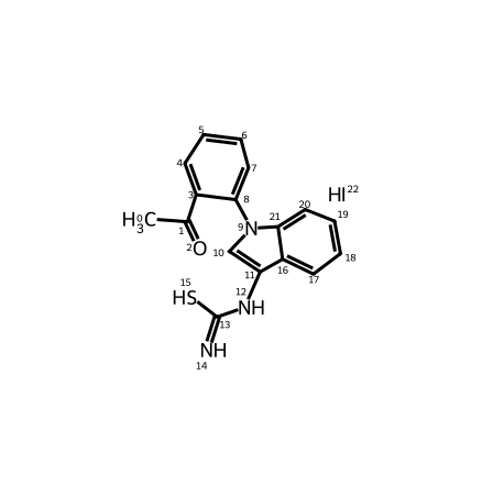 CC(=O)c1ccccc1-n1cc(NC(=N)S)c2ccccc21.I